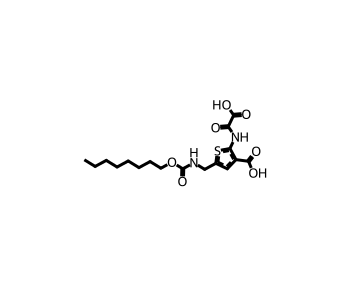 CCCCCCCCOC(=O)NCc1cc(C(=O)O)c(NC(=O)C(=O)O)s1